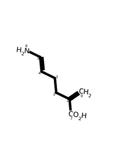 C=C(CCC=CN)C(=O)O